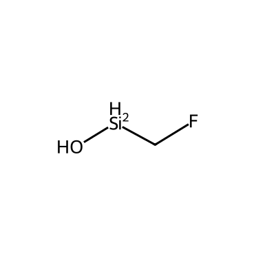 O[SiH2]CF